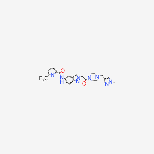 Cn1cc(CN2CCN(C(=O)Cn3cc4cc(NC(=O)c5cccc(C(F)(F)F)n5)ccc4n3)CC2)cn1